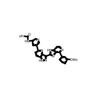 CCCC(=O)Nc1cncc(-c2ccc3[nH]nc(-c4nc5c(-c6cccc(OC)c6)nccc5[nH]4)c3n2)c1